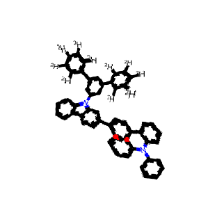 [2H]c1c([2H])c([2H])c(-c2cc(-c3c([2H])c([2H])c([2H])c([2H])c3[2H])cc(-n3c4ccccc4c4ccc(-c5ccc(-c6ccccc6N(c6ccccc6)c6ccccc6)cc5)cc43)c2)c([2H])c1[2H]